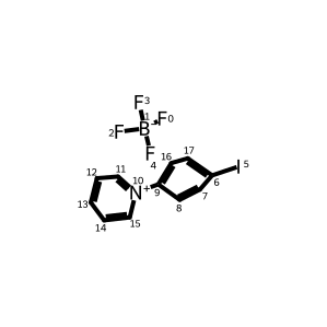 F[B-](F)(F)F.Ic1ccc(-[n+]2ccccc2)cc1